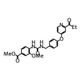 CCC(=O)c1cc(Oc2ccc(CNC(=O)Nc3ccc(C(=O)OC)cc3OC)cc2)ccn1